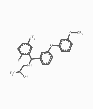 OC(CNC(c1cccc(Oc2cccc(SC(F)(F)F)c2)c1)c1cc(C(F)(F)F)ccc1F)C(F)(F)F